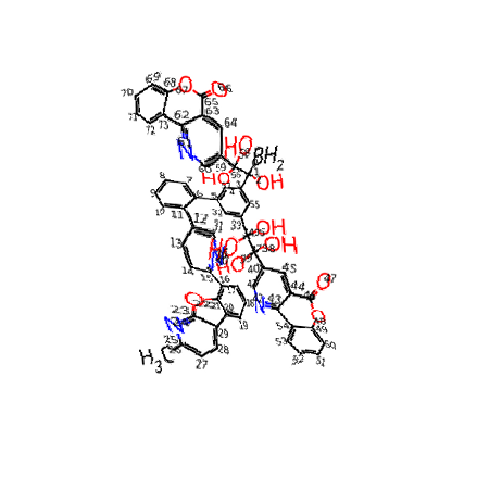 BC(O)(c1cc(-c2ccccc2-c2ccc(-c3cccc4c3oc3nc(C)ccc34)nc2)cc(C(O)(O)C(O)(O)c2cnc3c(c2)c(=O)oc2ccccc23)c1)C(O)(O)c1cnc2c(c1)c(=O)oc1ccccc12